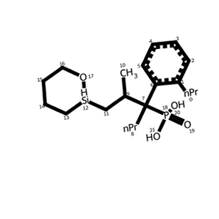 CCCc1ccccc1C(CCC)(C(C)C[SiH]1CCCCO1)P(=O)(O)O